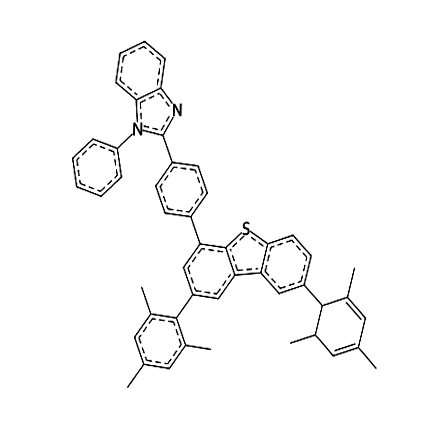 CC1=CC(C)C(c2ccc3sc4c(-c5ccc(-c6nc7ccccc7n6-c6ccccc6)cc5)cc(-c5c(C)cc(C)cc5C)cc4c3c2)C(C)=C1